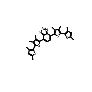 Cc1cc(C)c(-c2sc(-c3ccc(-c4sc(-c5sc(C)cc5C)c(C)c4C)c4nsnc34)c(C)c2C)s1